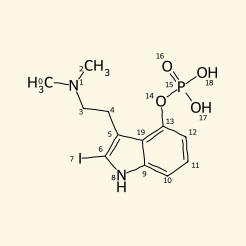 CN(C)CCc1c(I)[nH]c2cccc(OP(=O)(O)O)c12